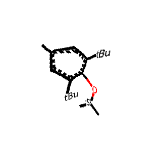 Cc1cc(C(C)(C)C)c(O[Si](C)C)c(C(C)(C)C)c1